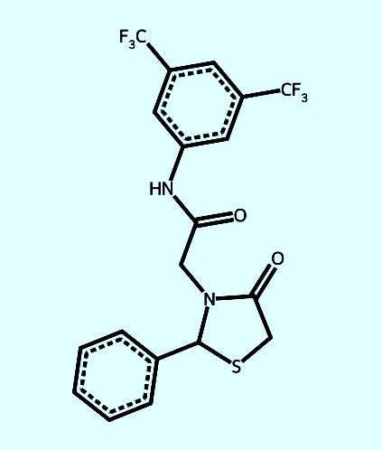 O=C(CN1C(=O)CSC1c1ccccc1)Nc1cc(C(F)(F)F)cc(C(F)(F)F)c1